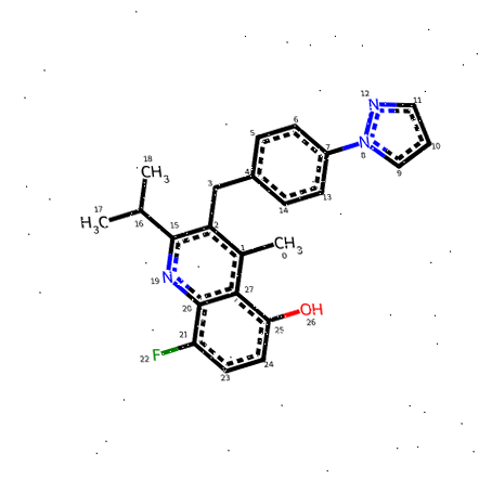 Cc1c(Cc2ccc(-n3cccn3)cc2)c(C(C)C)nc2c(F)ccc(O)c12